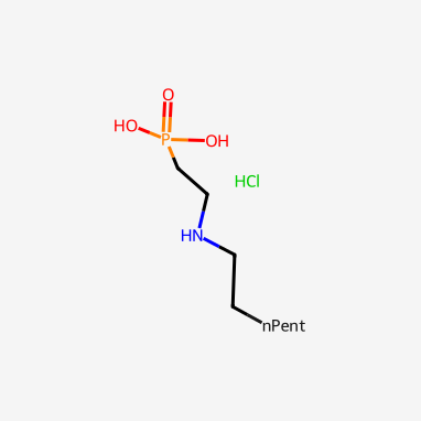 CCCCCCCNCCP(=O)(O)O.Cl